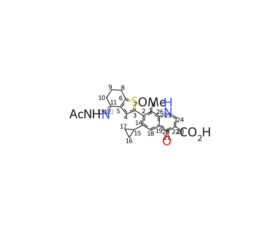 COc1c(-c2cc3c(s2)CCC/C3=N\NC(C)=O)c(C2CC2)cc2c(=O)c(C(=O)O)c[nH]c12